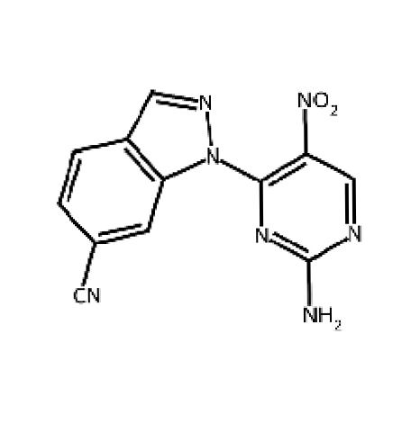 N#Cc1ccc2cnn(-c3nc(N)ncc3[N+](=O)[O-])c2c1